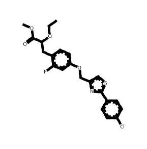 CCOC(Cc1ccc(OCc2csc(-c3ccc(Cl)cc3)n2)cc1F)C(=O)OC